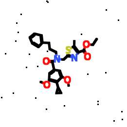 CCOC(=O)c1nc(CN(CCCc2ccccc2)C(=O)c2cc(OC)c(C3CC3)c(OC)c2)sc1C